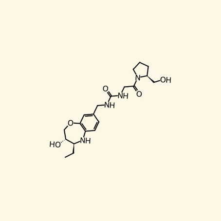 CC[C@@H]1Nc2ccc(CNC(=O)NCC(=O)N3CCC[C@H]3CO)cc2OC[C@H]1O